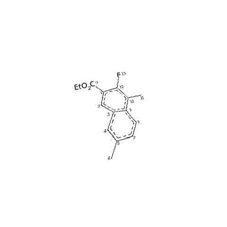 CCOC(=O)c1cc2cc(C)ccc2c(C)c1F